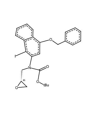 CC(C)(C)OC(=O)N(C[C@@H]1CO1)c1cc(OCc2ccccc2)c2ccccc2c1I